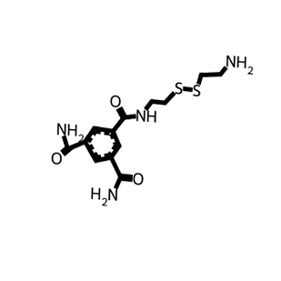 NCCSSCCNC(=O)c1cc(C(N)=O)cc(C(N)=O)c1